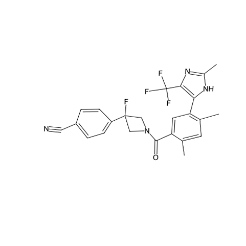 Cc1nc(C(F)(F)F)c(-c2cc(C(=O)N3CC(F)(c4ccc(C#N)cc4)C3)c(C)cc2C)[nH]1